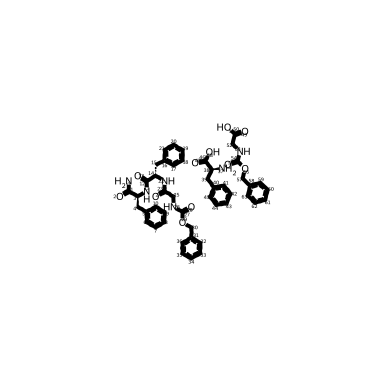 NC(=O)[C@H](Cc1ccccc1)NC(=O)[C@H](Cc1ccccc1)NC(=O)CNC(=O)OCc1ccccc1.N[C@@H](Cc1ccccc1)C(=O)O.O=C(O)CNC(=O)OCc1ccccc1